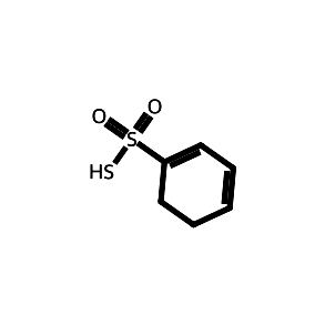 O=S(=O)(S)C1=CC=CCC1